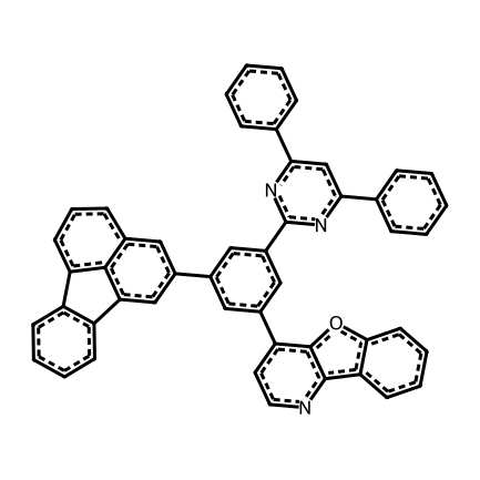 c1ccc(-c2cc(-c3ccccc3)nc(-c3cc(-c4cc5c6c(cccc6c4)-c4ccccc4-5)cc(-c4ccnc5c4oc4ccccc45)c3)n2)cc1